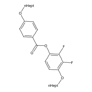 CCCCCCCOc1ccc(C(=O)Oc2ccc(OCCCCCCC)c(F)c2F)cc1